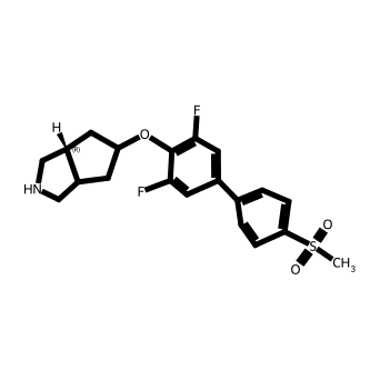 CS(=O)(=O)c1ccc(-c2cc(F)c(OC3CC4CNC[C@@H]4C3)c(F)c2)cc1